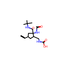 C=CC1CC(CNC(=O)O)C(NC(C)=O)(C(=O)NC(C)(C)C)C1